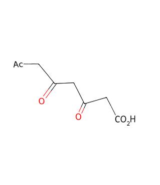 CC(=O)CC(=O)CC(=O)CC(=O)O